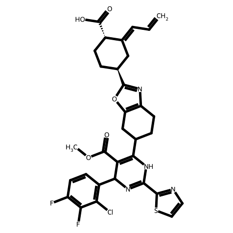 C=C/C=C1\C[C@@H](c2nc3c(o2)CC(C2=C(C(=O)OC)C(c4ccc(F)c(F)c4Cl)N=C(c4nccs4)N2)CC3)CC[C@@H]1C(=O)O